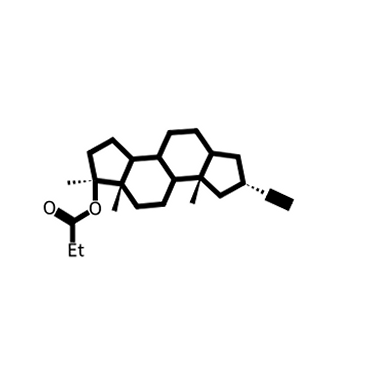 C#C[C@H]1CC2CCC3C(CC[C@@]4(C)C3CC[C@]4(C)OC(=O)CC)[C@@]2(C)C1